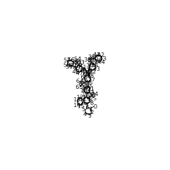 CC1=CC=CCC1c1cc2c(c3ccccc13)-c1cc3c(cc1C2(C)C)-c1ccc(N(c2ccc4c(c2)C(C)(C)c2ccccc2-4)c2ccc4c(c2)C(C)(C)c2ccccc2-4)cc1C3(C)C